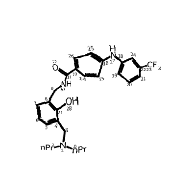 CCCN(CCC)Cc1cccc(CNC(=O)c2ccc(Nc3cccc(C(F)(F)F)c3)cc2)c1O